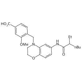 CCCCC(CC)C(=O)Nc1ccc2c(c1)N(Cc1ccc(C(=O)O)cc1OC)CCO2